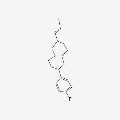 CC=CC1CCC2CC(c3ccc(F)cc3)CCC2C1